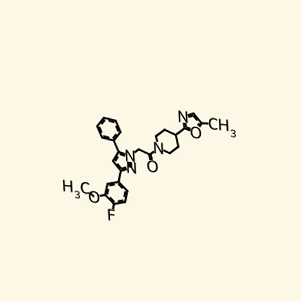 COc1cc(-c2cc(-c3ccccc3)n(CC(=O)N3CCC(c4ncc(C)o4)CC3)n2)ccc1F